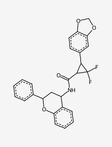 O=C(NC1CC(c2ccccc2)Oc2ccccc21)C1C(c2ccc3c(c2)OCO3)C1(F)F